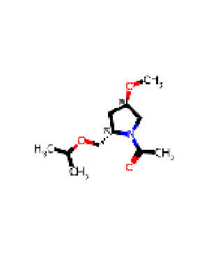 CO[C@@H]1C[C@@H](COC(C)C)N(C(C)=O)C1